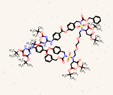 CC(C)(C)OC(=O)CC(C(=O)OC(C)(C)C)N(CCOCCOCCN(C(CC(=O)OC(C)(C)C)C(=O)OC(C)(C)C)S(=O)(=O)N(Cc1ccc(OC(=O)c2ccc(NC(=NC(=O)OC(C)(C)C)NC(=O)OC(C)(C)C)cc2)cc1)C(=O)OCc1ccccc1)S(=O)(=O)N(Cc1ccc(OC(=O)c2ccc(NC(=NC(=O)OC(C)(C)C)NC(=O)OC(C)(C)C)cc2)cc1)C(=O)OCc1ccccc1